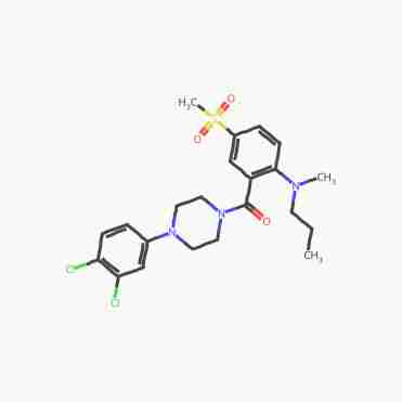 CCCN(C)c1ccc(S(C)(=O)=O)cc1C(=O)N1CCN(c2ccc(Cl)c(Cl)c2)CC1